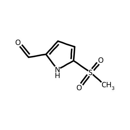 CS(=O)(=O)c1ccc(C=O)[nH]1